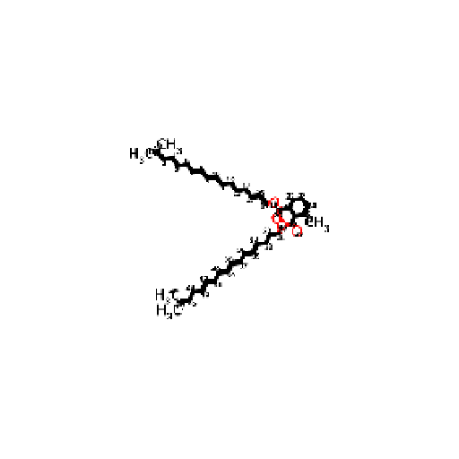 CC(C)CCCCCCCCCCCCCCCOC(=O)C1CCCC(C)C1C(=O)OCCCCCCCCCCCCCCCC(C)C